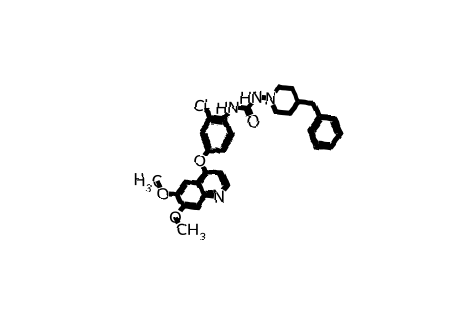 COc1cc2nccc(Oc3ccc(NC(=O)NN4CCC(Cc5ccccc5)CC4)c(Cl)c3)c2cc1OC